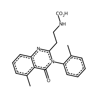 Cc1ccccc1-n1c(CCNC(=O)O)nc2cccc(C)c2c1=O